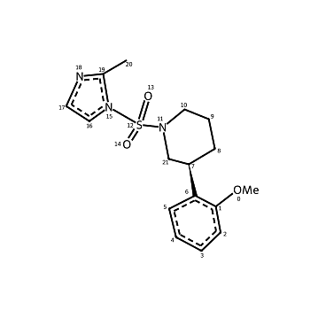 COc1ccccc1[C@@H]1CCCN(S(=O)(=O)n2ccnc2C)C1